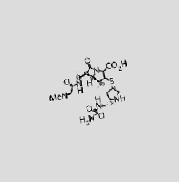 CNCC(=O)N[C@H](C)[C@H]1C(=O)N2C(C(=O)O)=C(S[C@@H]3CN[C@H](CNS(N)(=O)=O)C3)[C@H](C)[C@H]12